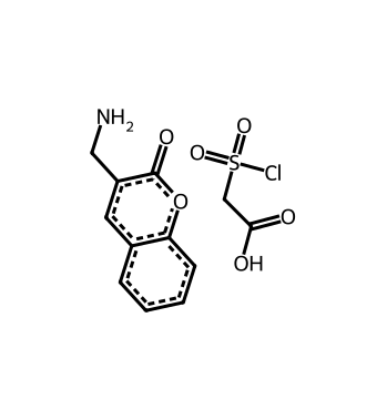 NCc1cc2ccccc2oc1=O.O=C(O)CS(=O)(=O)Cl